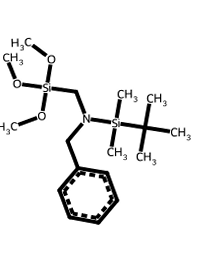 CO[Si](CN(Cc1ccccc1)[Si](C)(C)C(C)(C)C)(OC)OC